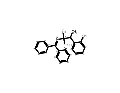 CC(c1ccccc1C#N)C(C)(N=C(c1ccccc1)c1ccccc1)C(=O)O